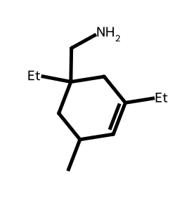 CCC1=CC(C)CC(CC)(CN)C1